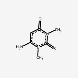 Cn1c(N)cc(=O)n(C)c1=S